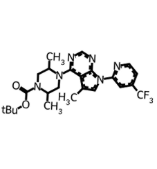 Cc1cn(-c2cc(C(F)(F)F)ccn2)c2ncnc(N3CC(C)N(C(=O)OC(C)(C)C)CC3C)c12